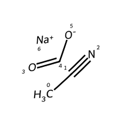 CC#N.O=C[O-].[Na+]